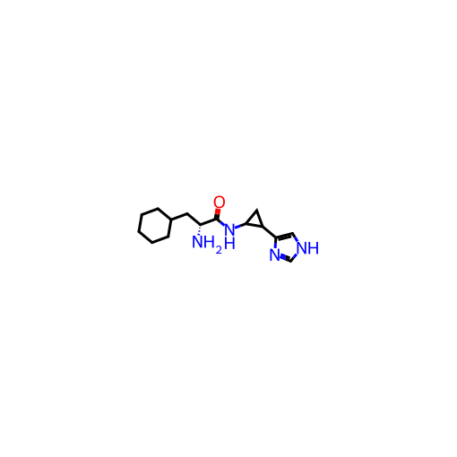 N[C@H](CC1CCCCC1)C(=O)NC1CC1c1c[nH]cn1